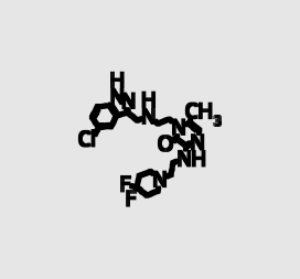 Cc1cnc(NCCN2CCC(F)(F)CC2)c(=O)n1CCNCc1n[nH]c2ccc(Cl)cc12